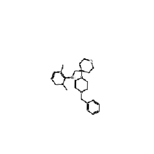 CC1CC=CC(F)=C1NCC1(N2CCN(Cc3ccccc3)CC2)CCOCC1